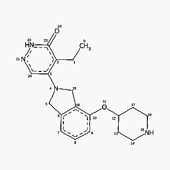 CCc1c(N2Cc3cccc(OC4CCNCC4)c3C2)cn[nH]c1=O